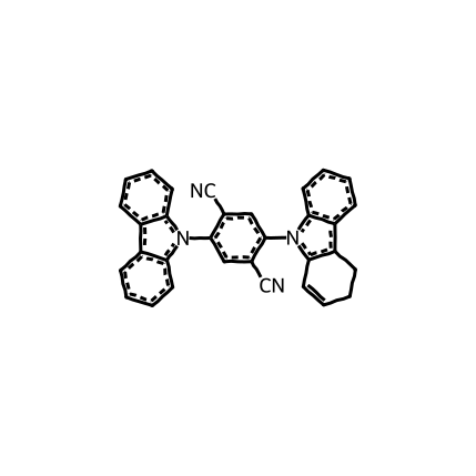 N#Cc1cc(-n2c3ccccc3c3ccccc32)c(C#N)cc1-n1c2c(c3ccccc31)CCC=C2